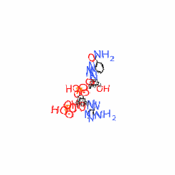 NC(=O)c1cccc2c1nnn2[C@H]1C[C@H](O)[C@@H](COP(=O)(O)O[C@H]2C[C@H](n3cnc4c(N)ncnc43)O[C@@H]2COP(=O)(O)O)O1